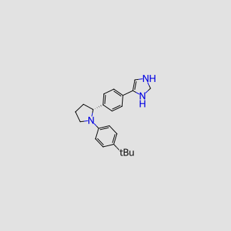 CC(C)(C)c1ccc(N2CCC[C@@H]2c2ccc(C3=CNCN3)cc2)cc1